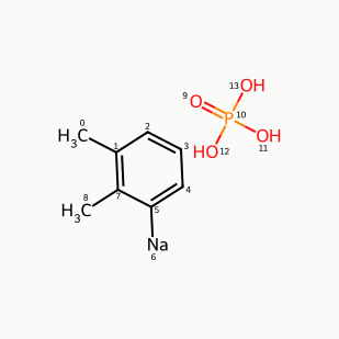 Cc1ccc[c]([Na])c1C.O=P(O)(O)O